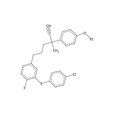 C#CC(C)(CCCc1ccc(F)c(Sc2ccc(Cl)cc2)c1)c1ccc(OCC)cc1